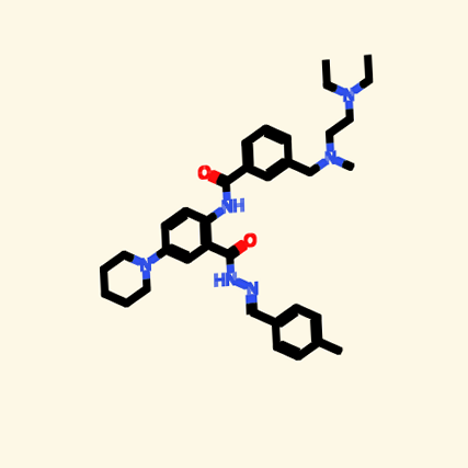 CCN(CC)CCN(C)Cc1cccc(C(=O)Nc2ccc(N3CCCCC3)cc2C(=O)N/N=C/c2ccc(C)cc2)c1